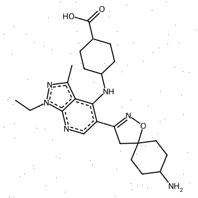 CCn1nc(C)c2c(NC3CCC(C(=O)O)CC3)c(C3=NOC4(CCC(N)CC4)C3)cnc21